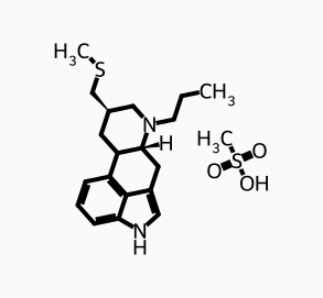 CCCN1C[C@H](CSC)CC2c3cccc4[nH]cc(c34)C[C@H]21.CS(=O)(=O)O